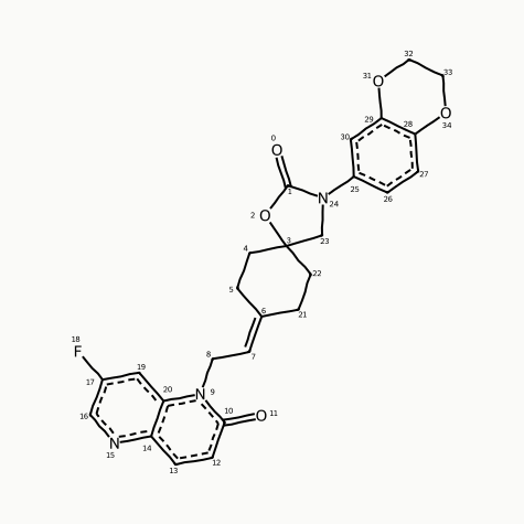 O=C1OC2(CCC(=CCn3c(=O)ccc4ncc(F)cc43)CC2)CN1c1ccc2c(c1)OCCO2